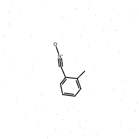 Cc1ccccc1C#[N+][O-]